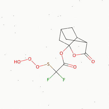 O=C1OC2(OC(=O)C(F)(F)SOOO)CC3CC1C2C3